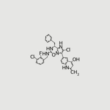 C=C1C=C(O)c2cc(-c3nc([C@H](Cc4ccccc4)NC(=O)NCc4cccc(Cl)c4F)[nH]c3Cl)ccc2N1